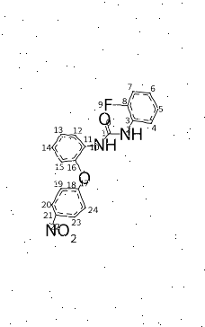 O=C(Nc1ccccc1F)Nc1ccccc1Oc1ccc([N+](=O)[O-])cc1